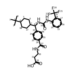 CC(C)(C)C1CCC(C(NC(=O)Nc2ccccc2C(F)(F)F)c2ccc(C(=O)NCCC(=O)O)cc2)CC1